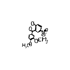 COc1ccc(C(=O)c2cc([N+](=O)[O-])ccc2Cl)cc1OC